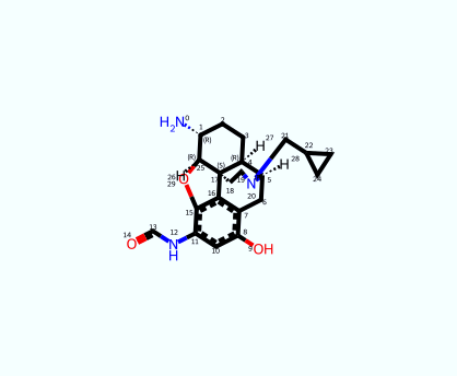 N[C@@H]1CC[C@H]2[C@H]3Cc4c(O)cc(NC=O)c5c4[C@@]2(CCN3CC2CC2)[C@H]1O5